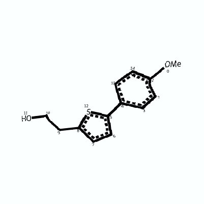 COc1ccc(-c2ccc(CCO)s2)cc1